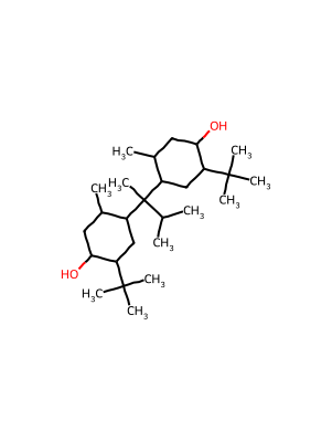 CC1CC(O)C(C(C)(C)C)CC1C(C)(C(C)C)C1CC(C(C)(C)C)C(O)CC1C